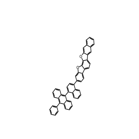 c1ccc(-c2c3ccccc3c(-c3ccc(-c4ccc5c(c4)oc4c5ccc5c6cc7ccccc7cc6oc54)c4ccccc34)c3ccccc23)cc1